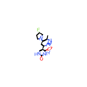 Cc1nnc(-c2c[nH]c(=O)[nH]c2=O)cc1N1CC[C@H](F)C1